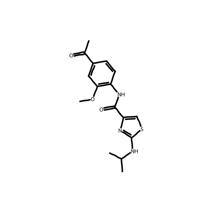 COc1cc(C(C)=O)ccc1NC(=O)c1csc(NC(C)C)n1